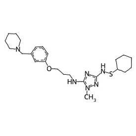 Cn1nc(NSC2CCCCC2)nc1NCCCOc1cccc(CN2CCCCC2)c1